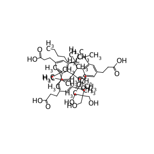 CCCCCCC(c1c(C(C)(C)C)cc(CCC(=O)O)cc1C(C)(C)C)C(C(=S)OCC(CO)(CO)CO)(c1c(C(C)(C)C)cc(CCC(=O)O)cc1C(C)(C)C)c1c(C(C)(C)C)cc(CCC(=O)O)cc1C(C)(C)C